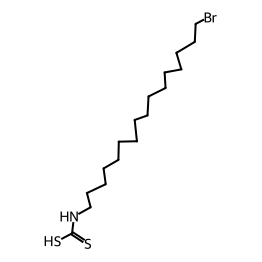 S=C(S)NCCCCCCCCCCCCCCCCBr